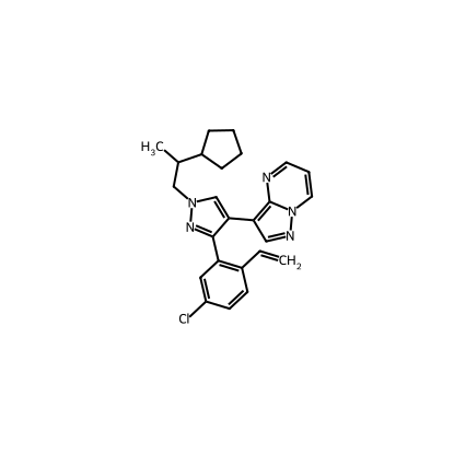 C=Cc1ccc(Cl)cc1-c1nn(CC(C)C2CCCC2)cc1-c1cnn2cccnc12